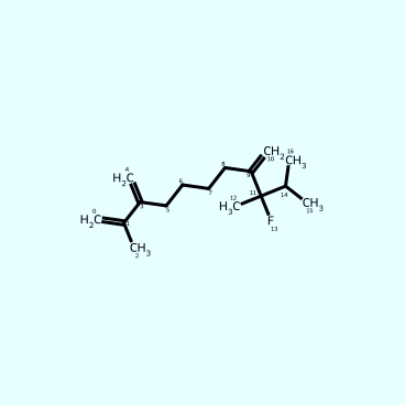 C=C(C)C(=C)CCCCC(=C)C(C)(F)C(C)C